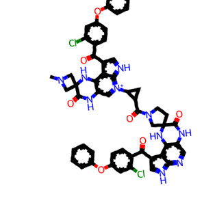 CN1CC2(C1)Nc1c(c[n+](C3CC3C(=O)N3CCC4(C3)Nc3c(cnc5[nH]cc(C(=O)c6ccc(Oc7ccccc7)cc6Cl)c35)NC4=O)c3[nH]cc(C(=O)c4ccc(Oc5ccccc5)cc4Cl)c13)NC2=O